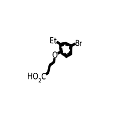 CCc1cc(Br)ccc1OCCCC(=O)O